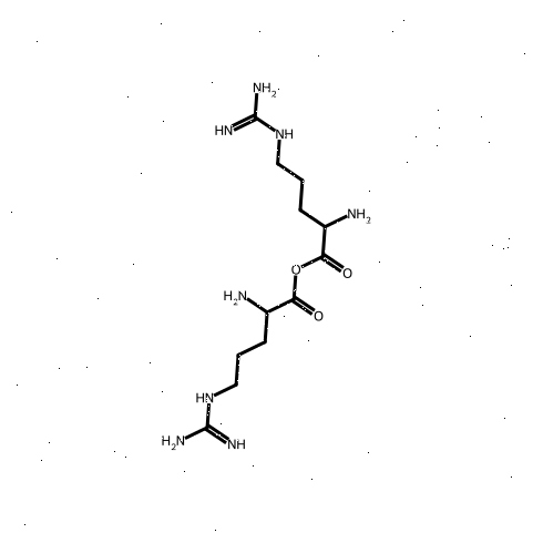 N=C(N)NCCCC(N)C(=O)OC(=O)C(N)CCCNC(=N)N